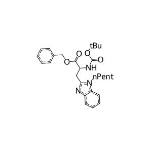 CCCCCn1c(CC(NC(=O)OC(C)(C)C)C(=O)OCc2ccccc2)nc2ccccc21